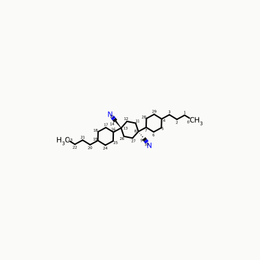 CCCCC1CCC([C@]2(C#N)CC[C@@](C#N)(C3CCC(CCCC)CC3)CC2)CC1